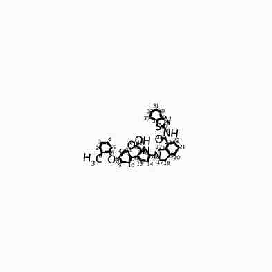 Cc1ccccc1Oc1ccc(-c2ccc(N3CCc4cccc(C(=O)Nc5nc6ccccc6s5)c4C3)nc2C(=O)O)cc1